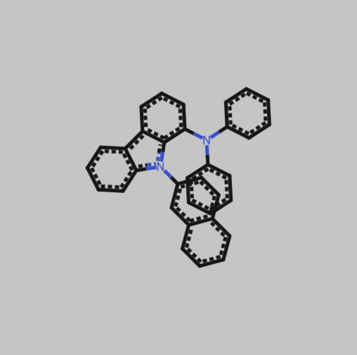 c1ccc(N(c2ccccc2)c2cccc3c4ccccc4n(-c4ccc5ccccc5c4)c23)cc1